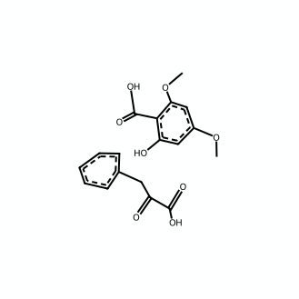 COc1cc(O)c(C(=O)O)c(OC)c1.O=C(O)C(=O)Cc1ccccc1